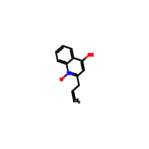 C=CCc1cc(O)c2ccccc2[n+]1[O-]